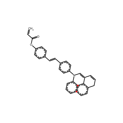 C=CC(=O)Oc1ccc(C=Cc2ccc(N(/C=C3/C=CCc4ccccc43)c3ccccc3)cc2)cc1